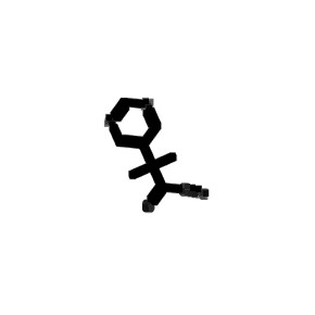 COC(=O)C(C)(C)c1cncnc1